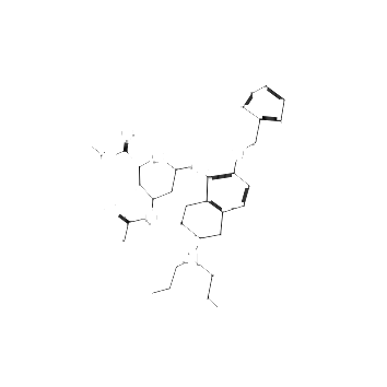 CCCN(CCC)[C@H]1CCc2c(ccc(OCc3ccccc3)c2OC2CC(OC(C)=O)C[C@@H](C(=O)OC)O2)C1